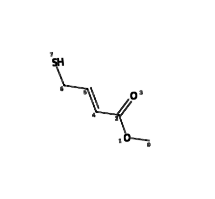 COC(=O)C=CCS